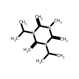 C=C1N(C)C(=C)N(C(C)C)C(=C)N1C(C)C